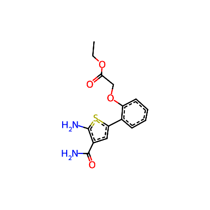 CCOC(=O)COc1ccccc1-c1cc(C(N)=O)c(N)s1